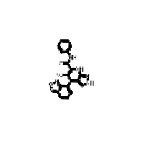 N#CC1=C(C(=O)Nc2ccccc2)Nc2n[nH]cc2C1c1cccc2nonc12